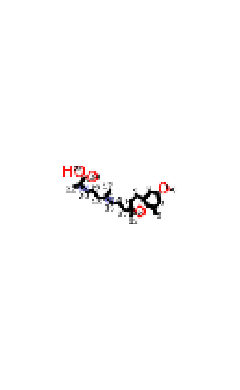 COc1cc(C)c2c(c1)CCC(C)(CC/C=C(\C)CC/C=C(/C)C(=O)O)O2